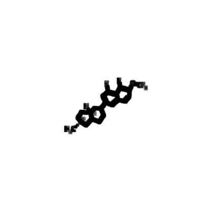 C[C@@H]1CC[C@@H]2CC(c3cc(F)c4c(F)c(OC(F)(F)F)ccc4c3)CCC2C1